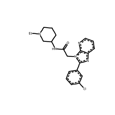 CCN1CCCC(NC(=O)Cn2c(-c3cccc(Cl)c3)nc3cccnc32)C1